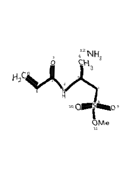 C=CC(=O)NC(C)CS(=O)(=O)OC.N